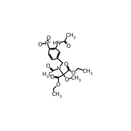 CCOC(=O)C(OC)(C(=O)OCC)N(Cc1ccc([N+](=O)[O-])c(NC(C)=O)c1)C(C)=O